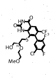 COCCO[C@@H](CO)CSc1c(-c2cc(Cl)c(F)cc2F)c(C(F)(F)F)cc2c(=O)[nH]c(=O)[nH]c12